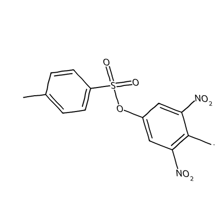 [CH2]c1c([N+](=O)[O-])cc(OS(=O)(=O)c2ccc(C)cc2)cc1[N+](=O)[O-]